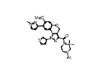 COc1cc2c(cc1-c1ccn(C)n1)-c1c(c(C(=O)N3CCN(C(C)=O)CC3(C)C)nn1-c1ccsc1)CO2